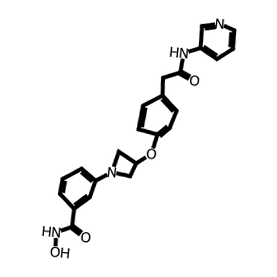 O=C(Cc1ccc(OC2CN(c3cccc(C(=O)NO)c3)C2)cc1)Nc1cccnc1